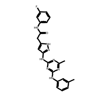 Cc1cccc(Nc2nc(C)nc(Nc3cc(CC(=O)Nc4cccc(F)c4)[nH]n3)n2)c1